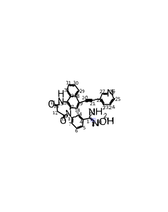 N/C(=N\O)c1cccc(N2C(=O)CC(=O)Nc3c2cc(C#Cc2cccnc2)c2ccccc32)c1